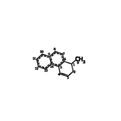 CC1CC=Cc2c1ccc1ccccc21